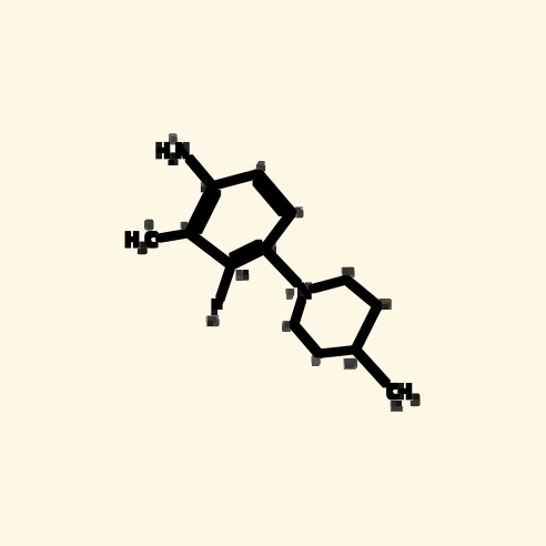 Cc1c(N)ccc(N2CCC(C)CC2)c1F